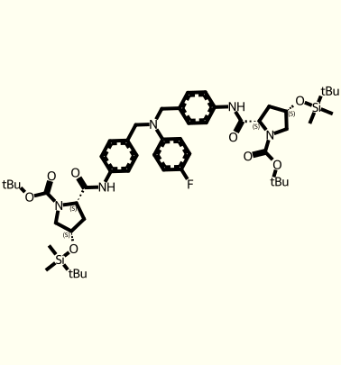 CC(C)(C)OC(=O)N1C[C@@H](O[Si](C)(C)C(C)(C)C)C[C@H]1C(=O)Nc1ccc(CN(Cc2ccc(NC(=O)[C@@H]3C[C@H](O[Si](C)(C)C(C)(C)C)CN3C(=O)OC(C)(C)C)cc2)c2ccc(F)cc2)cc1